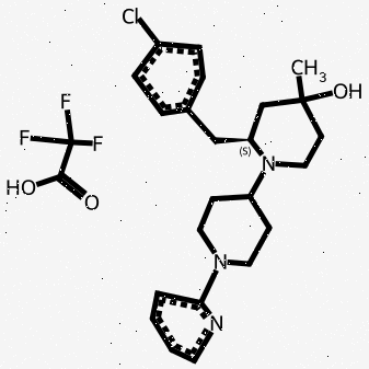 CC1(O)CCN(C2CCN(c3ccccn3)CC2)[C@@H](Cc2ccc(Cl)cc2)C1.O=C(O)C(F)(F)F